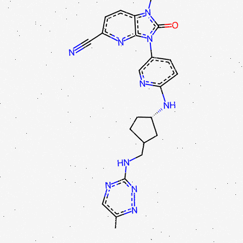 Cc1cnc(NCC2CC[C@H](Nc3ccc(-n4c(=O)n(C)c5ccc(C#N)nc54)cn3)C2)nn1